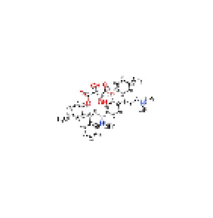 CC(C)N(CCC(c1ccccc1)c1cc(C(F)(F)F)ccc1OC(=O)C(O)C(O)C(=O)Oc1ccc(C(F)(F)F)cc1C(CCN(C(C)C)C(C)C)c1ccccc1)C(C)C